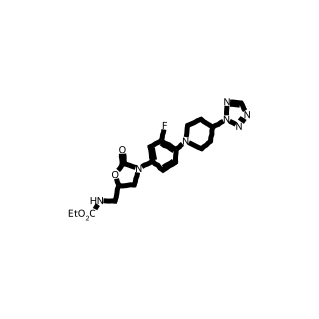 CCOC(=O)NCC1CN(c2ccc(N3CCC(n4ncnn4)CC3)c(F)c2)C(=O)O1